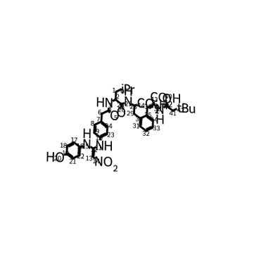 CC(C)CC(NC(=O)Cc1ccc(N/C(=C\[N+](=O)[O-])Nc2ccc(O)cc2)cc1)C(=O)NC(Cc1ccccc1CC(NC(=O)CC(C)(C)C)C(=O)O)C(=O)O